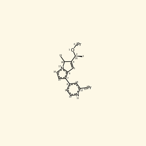 CC(C)O[C@@H](C)C1=Cc2c(-c3ccnc(C(C)C)c3)ccn2C1C